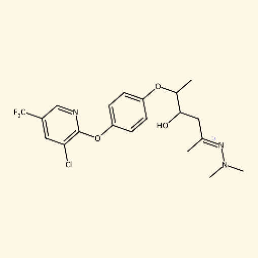 C/C(CC(O)C(C)Oc1ccc(Oc2ncc(C(F)(F)F)cc2Cl)cc1)=N\N(C)C